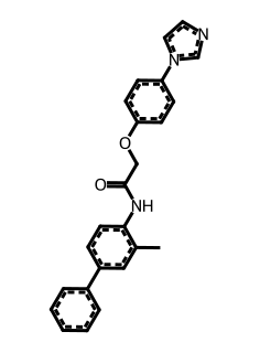 Cc1cc(-c2ccccc2)ccc1NC(=O)COc1ccc(-n2ccnc2)cc1